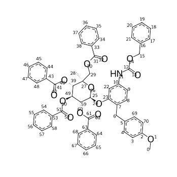 COc1ccc(Cc2ccc(NC(=O)OCc3ccccc3)cc2O[C@@H]2O[C@](C)(COC(=O)c3ccccc3)[C@@H](OC(=O)c3ccccc3)[C@H](OC(=O)c3ccccc3)[C@H]2OC(=O)c2ccccc2)cc1